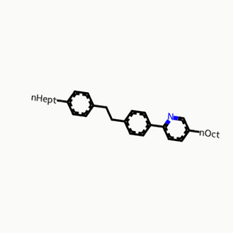 CCCCCCCCc1ccc(-c2ccc(CCc3ccc(CCCCCCC)cc3)cc2)nc1